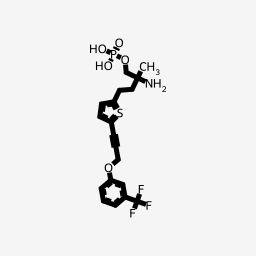 CC(N)(CCc1ccc(C#CCOc2cccc(C(F)(F)F)c2)s1)COP(=O)(O)O